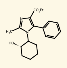 CCOC(=O)c1nc(C)n(C2CCCC[C@@H]2O)c1-c1ccccc1